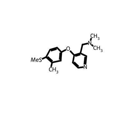 CSc1ccc(Oc2ccncc2CN(C)C)cc1C